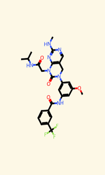 CNc1ncc2c(n1)N(CC(=O)NC(C)C)C(=O)N(c1cc(NC(=O)c3cccc(C(F)(F)F)c3)cc(OC)c1)C2